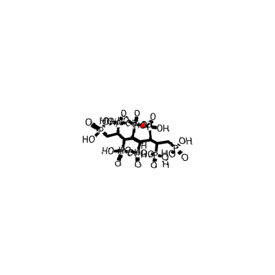 O=P(O)(O)CC(C(C(C(C(C(CP(=O)(O)O)P(=O)(O)O)P(=O)(O)O)P(=O)(O)O)P(=O)(O)O)P(=O)(O)O)P(=O)(O)O